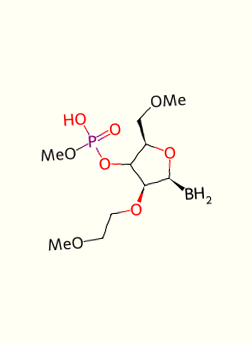 B[C@@H]1O[C@H](COC)C(OP(=O)(O)OC)[C@@H]1OCCOC